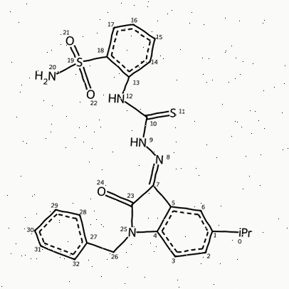 CC(C)c1ccc2c(c1)C(=NNC(=S)Nc1ccccc1S(N)(=O)=O)C(=O)N2Cc1ccccc1